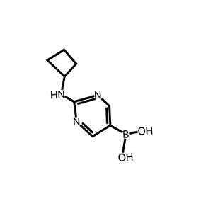 OB(O)c1cnc(NC2CCC2)nc1